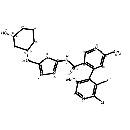 COc1cnc(Cl)c(F)c1-c1cc(C)ncc1C(=O)Nc1nnc(O[C@H]2CCC[C@@H](O)C2)s1